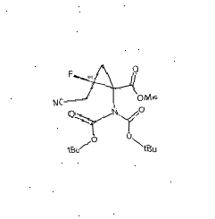 COC(=O)C1(N(C(=O)OC(C)(C)C)C(=O)OC(C)(C)C)C[C@@]1(F)CC#N